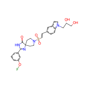 O=C1NC(c2cccc(OF)c2)=NC12CCN(S(=O)(=O)/C=C/c1ccc3c(ccn3C[C@H](O)CO)c1)CC2